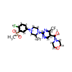 CC(C)C1CN(c2ccc(F)c(S(C)(=O)=O)c2)CCN1c1ncc(C(=O)N2CCOCC2)c(C(F)(F)F)n1